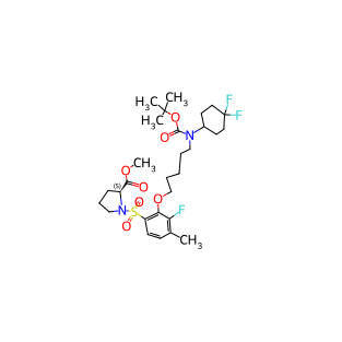 COC(=O)[C@@H]1CCCN1S(=O)(=O)c1ccc(C)c(F)c1OCCCCCN(C(=O)OC(C)(C)C)C1CCC(F)(F)CC1